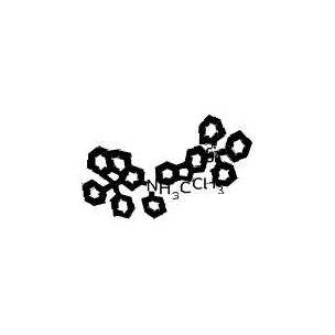 CC1(C)c2cc(N(c3ccccc3)c3cc4c5c(ccc6cccc(c65)C4(c4ccccc4)c4ccccc4)c3)ccc2-c2ccc([Si](c3ccccc3)(c3ccccc3)c3ccccc3)cc21